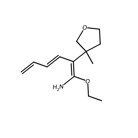 C=C/C=C/C(=C(\N)OCC)C1(C)CCOC1